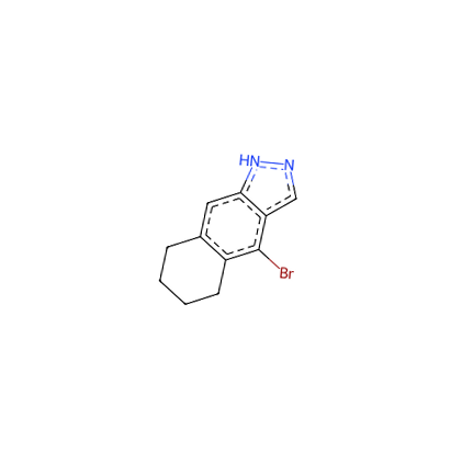 Brc1c2c(cc3[nH]ncc13)CCCC2